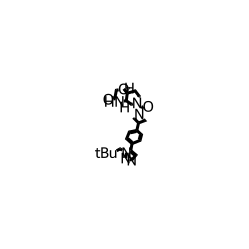 CC(C)(C)Cn1nncc1-c1ccc(C2CN(C(=O)N3CC[C@@H]4OCC(=O)N[C@@H]4C3)C2)cc1